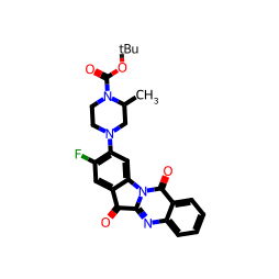 CC1CN(c2cc3c(cc2F)C(=O)c2nc4ccccc4c(=O)n2-3)CCN1C(=O)OC(C)(C)C